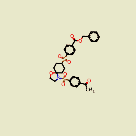 CC(=O)c1ccc(S(=O)(=O)N2CCOC23CCC(S(=O)(=O)c2ccc(C(=O)OCc4ccccc4)cc2)CC3)cc1